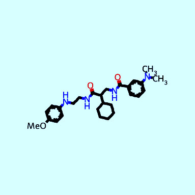 COc1ccc(NCCNC(=O)C(CNC(=O)c2cccc(N(C)C)c2)C2CCCCC2)cc1